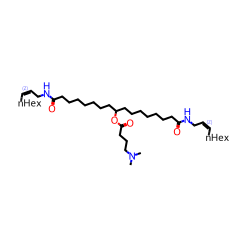 CCCCCC/C=C\CNC(=O)CCCCCCCC(CCCCCCCC(=O)NC/C=C\CCCCCC)OC(=O)CCCN(C)C